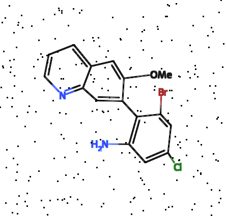 COc1cc2cccnc2cc1-c1c(N)cc(Cl)cc1Br